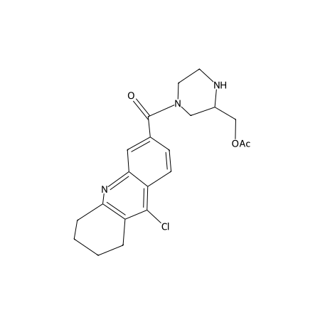 CC(=O)OCC1CN(C(=O)c2ccc3c(Cl)c4c(nc3c2)CCCC4)CCN1